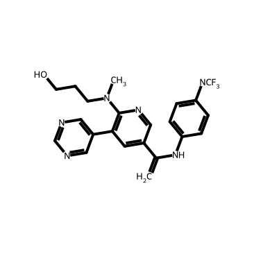 C=C(Nc1ccc(NC(F)(F)F)cc1)c1cnc(N(C)CCCO)c(-c2cncnc2)c1